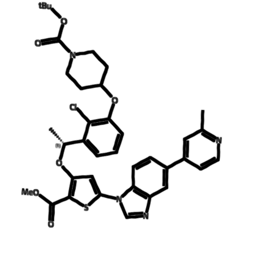 COC(=O)c1sc(-n2cnc3cc(-c4ccnc(C)c4)ccc32)cc1O[C@H](C)c1cccc(OC2CCN(C(=O)OC(C)(C)C)CC2)c1Cl